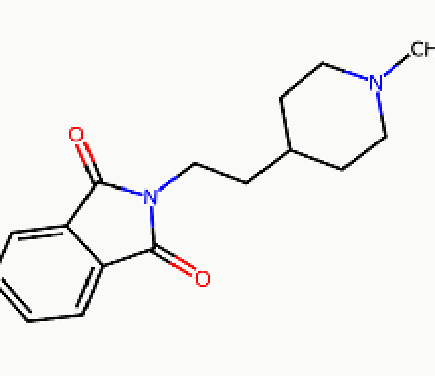 CN1CCC(CCN2C(=O)c3ccccc3C2=O)CC1